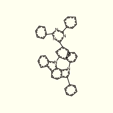 c1ccc(-c2nc(-c3ccccc3)nc(-c3cccc(-n4c5ccccc5c5ccc6c(-c7ccccc7)cn(-c7ccccc7)c6c54)c3)n2)cc1